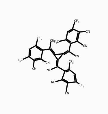 N#CC(=C1C(=C(C#N)c2c(C(F)(F)F)cc(C(F)(F)F)c(C#N)c2C#N)C1=C(C#N)c1c(C(F)(F)F)cc(C(F)(F)F)c(C#N)c1C#N)c1c(C(F)(F)F)cc(C(F)(F)F)c(C#N)c1C#N